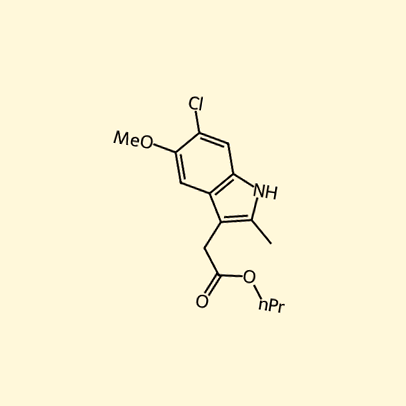 CCCOC(=O)Cc1c(C)[nH]c2cc(Cl)c(OC)cc12